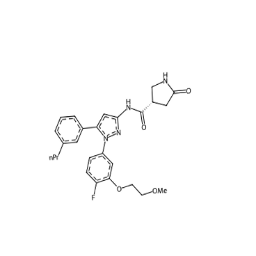 CCCc1cccc(-c2cc(NC(=O)[C@@H]3CNC(=O)C3)nn2-c2ccc(F)c(OCCOC)c2)c1